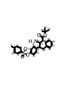 Cc1ccc(S(=O)(=O)Oc2ccc(C(Cc3ccccc3)C(N)CC(=O)OC(C)(C)C)cc2)cc1